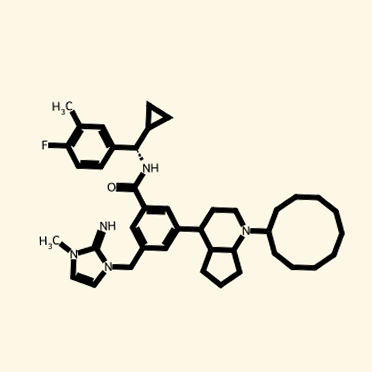 Cc1cc([C@@H](NC(=O)c2cc(Cn3ccn(C)c3=N)cc(C3CCN(C4CCCCCCCCC4)C4CCCC34)c2)C2CC2)ccc1F